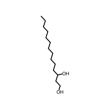 CCCCCCCCCCCC(O)CCO